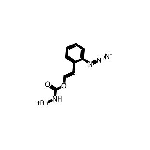 CC(C)(C)NC(=O)OC=Cc1ccccc1N=[N+]=[N-]